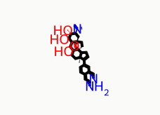 CN(C)[C@H]1C[C@@]23CC[C@]4(O2)C2CC=C(c5ccc6cc(N)ncc6c5)[C@@]2(C)CCC4(O)CC3[C@@H](O)[C@@H]1O